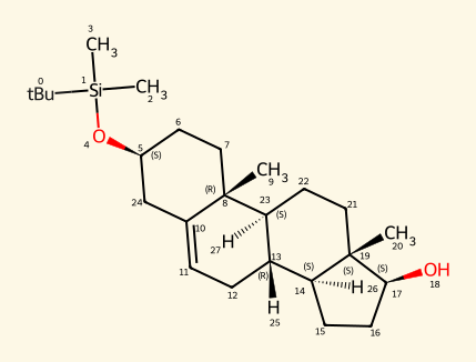 CC(C)(C)[Si](C)(C)O[C@H]1CC[C@@]2(C)C(=CC[C@H]3[C@@H]4CC[C@H](O)[C@@]4(C)CC[C@@H]32)C1